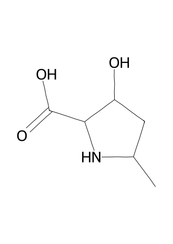 CC1CC(O)C(C(=O)O)N1